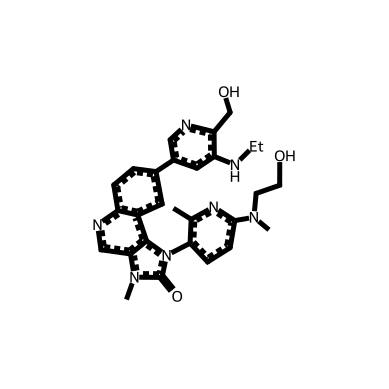 CCNc1cc(-c2ccc3ncc4c(c3c2)n(-c2ccc(N(C)CCO)nc2C)c(=O)n4C)cnc1CO